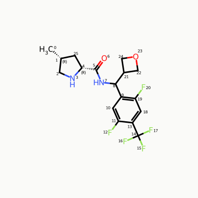 C[C@H]1CN[C@@H](C(=O)NC(c2cc(F)c(C(F)(F)F)cc2F)C2COC2)C1